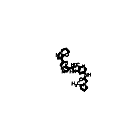 Cc1ncc(NC(=O)CN2CCC[C@@H]2C)cc1NC(=O)c1cnn2cc(-c3cnn4c3OCCC4)sc12